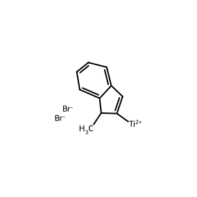 CC1[C]([Ti+2])=Cc2ccccc21.[Br-].[Br-]